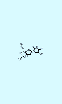 Cc1cn([C@H]2C[C@H](OP(N)O)[C@@H](COOO)O2)c(=O)[nH]c1=O